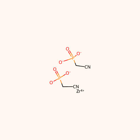 N#CCP(=O)([O-])[O-].N#CCP(=O)([O-])[O-].[Zr+4]